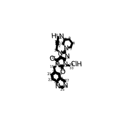 CC#CCn1c(N2CCC[C@@H](N)C2)nc2c1c(=O)n(Cc1ccc3ncncc3c1)c(=O)n2C.Cl